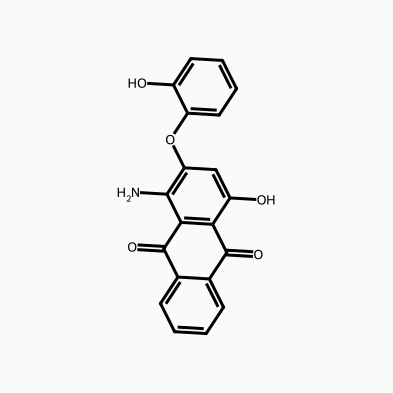 Nc1c(Oc2ccccc2O)cc(O)c2c1C(=O)c1ccccc1C2=O